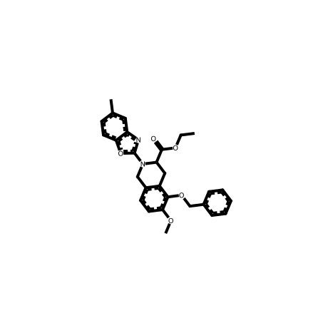 CCOC(=O)C1Cc2c(ccc(OC)c2OCc2ccccc2)CN1c1nc2cc(C)ccc2o1